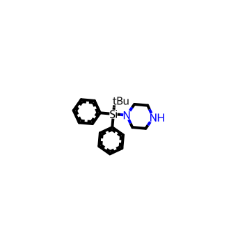 CC(C)(C)[Si](c1ccccc1)(c1ccccc1)N1CCNCC1